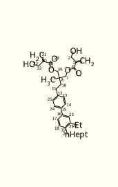 C=C(CO)C(=O)OCC(C)(CCc1ccc(-c2ccc(CCCCCCC)c(CC)c2)cc1)COC(=O)C(=C)CO